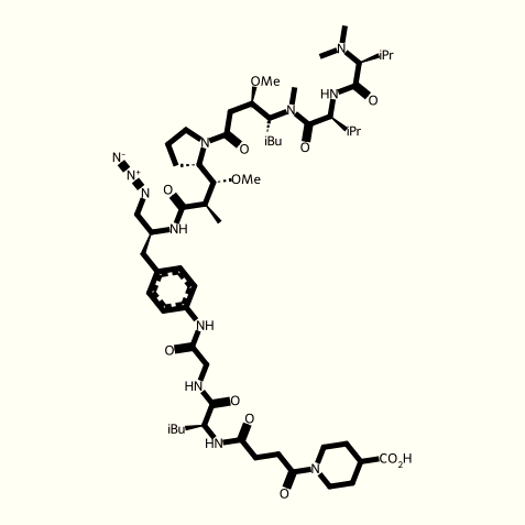 CCC(C)[C@H](NC(=O)CCC(=O)N1CCC(C(=O)O)CC1)C(=O)NCC(=O)Nc1ccc(C[C@@H](CN=[N+]=[N-])NC(=O)[C@H](C)[C@@H](OC)[C@@H]2CCCN2C(=O)C[C@@H](OC)C([C@@H](C)CC)N(C)C(=O)[C@@H](NC(=O)[C@H](C(C)C)N(C)C)C(C)C)cc1